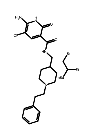 CCCCC(CC)CBr.Nc1[nH]c(=O)c(C(=O)NCC2CCN(CCc3ccccc3)CC2)cc1Cl